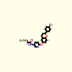 CCc1ccc(C2CCc3cc(Oc4ccc(NC(=O)CNC(C)=O)cn4)ccc3O2)cc1